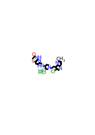 Cc1ccc2ncc(Cl)c(CCN3CCC(NCc4ccc5c(n4)NC(=O)CS5)CC3)c2n1.Cl.Cl